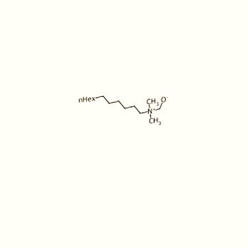 CCCCCCCCCCCC[N+](C)(C)C[O-]